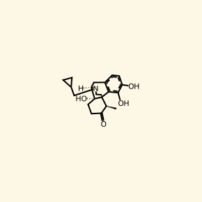 C[C@H]1C(=O)CC[C@@]2(O)[C@H]3Cc4ccc(O)c(O)c4[C@@]12CCN3CC1CC1